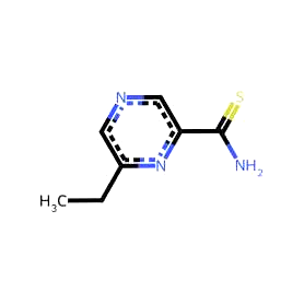 CCc1cncc(C(N)=S)n1